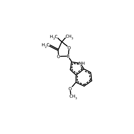 C=C1OB(c2cc3c(OC)cccc3[nH]2)OC1(C)C